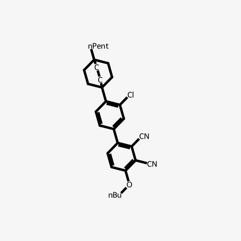 CCCCCC12CCC(c3ccc(-c4ccc(OCCCC)c(C#N)c4C#N)cc3Cl)(CC1)CC2